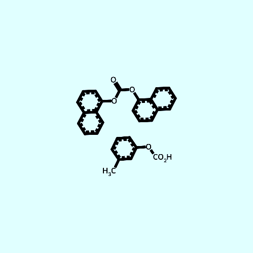 Cc1cccc(OC(=O)O)c1.O=C(Oc1cccc2ccccc12)Oc1cccc2ccccc12